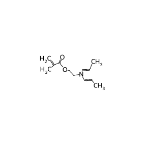 C=C(C)C(=O)OCCN(C=CC)C=CC